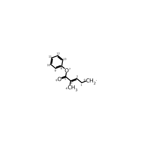 [CH2]CC=C(C)C(=O)Oc1ccccc1